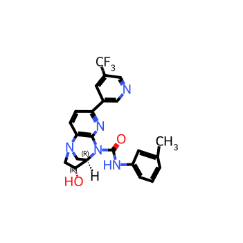 Cc1cccc(NC(=O)N2c3nc(-c4cncc(C(F)(F)F)c4)ccc3N3C[C@@H](O)[C@H]2C3)c1